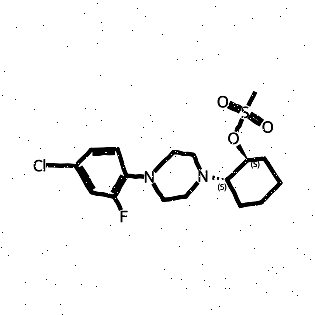 CS(=O)(=O)O[C@H]1CCCC[C@@H]1N1CCN(c2ccc(Cl)cc2F)CC1